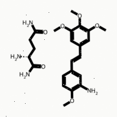 COc1ccc(C=Cc2cc(OC)c(OC)c(OC)c2)cc1N.NC(=O)CC[C@@H](N)C(N)=O